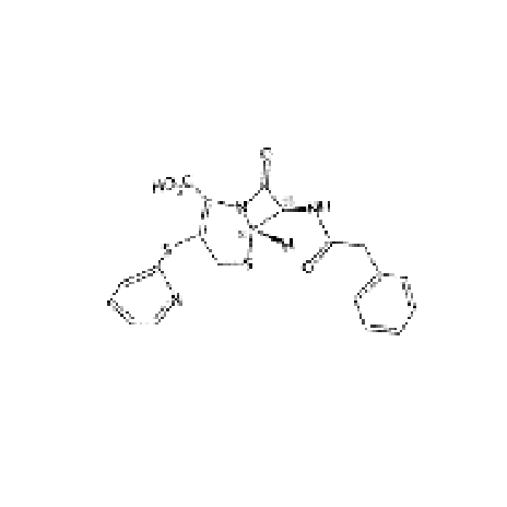 O=C(Cc1ccccc1)N[C@@H]1C(=O)N2C(C(=O)O)=C(Sc3ccccn3)CS[C@@H]12